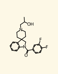 CC(O)CN1CCC2(CC1)CN(C(=O)c1ccc(F)c(F)c1)c1ccccc12